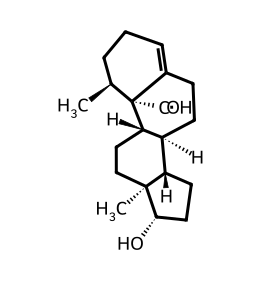 C[C@H]1CCC=C2CC[C@H]3[C@@H]4CC[C@H](O)[C@@]4(C)CC[C@@H]3[C@]21CO